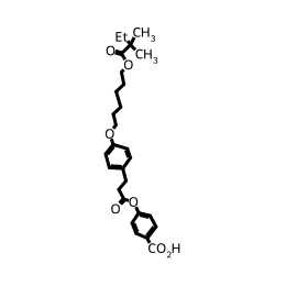 CCC(C)(C)C(=O)OCCCCCCOc1ccc(CCC(=O)Oc2ccc(C(=O)O)cc2)cc1